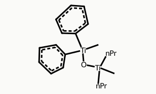 CC[CH2][Ti]([CH3])([CH2]CC)[O][Ti]([CH3])([c]1ccccc1)[c]1ccccc1